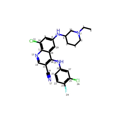 CCN1CCCC(Nc2cc(Cl)c3ncc(C#N)c(Nc4ccc(F)c(Cl)c4)c3c2)C1